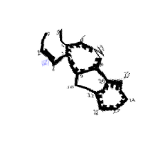 C/C=C\c1c(C)cnc2c1Cc1ccccc1-2